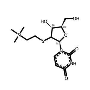 C[Si](C)(C)CCSC1[C@H](n2ccc(=O)[nH]c2=O)O[C@H](CO)[C@H]1O